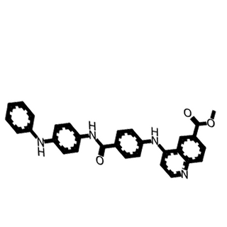 COC(=O)c1ccc2nccc(Nc3ccc(C(=O)Nc4ccc(Nc5ccccc5)cc4)cc3)c2c1